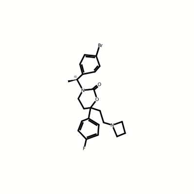 C[C@@H](c1ccc(Br)cc1)N1CCC(CCN2CCC2)(c2ccc(F)cc2)OC1=O